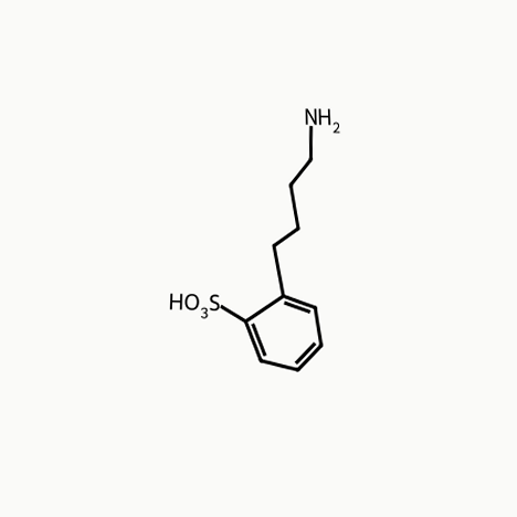 NCCCCc1ccccc1S(=O)(=O)O